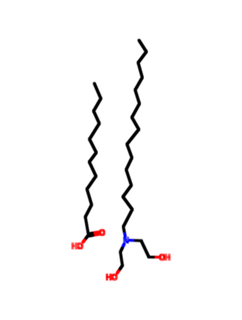 CCCCCCCCCCCC(=O)O.CCCCCCCCCCCCCCCN(CCO)CCO